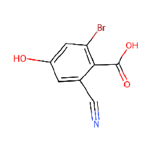 N#Cc1cc(O)cc(Br)c1C(=O)O